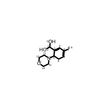 OC(O)C1=CC(F)=CCC1N1CCOCC1